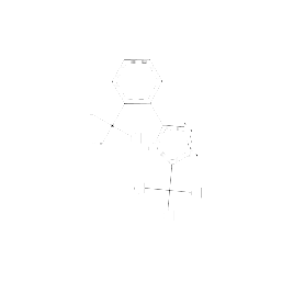 ClC(Cl)(Cl)c1nnc(-c2ccccc2C(Cl)(Cl)Cl)o1